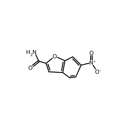 NC(=O)c1cc2ccc([N+](=O)[O-])cc2o1